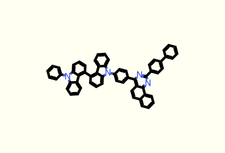 c1ccc(-c2ccc(-c3nc(-c4ccc(-n5c6ccccc6c6c(-c7cccc8c7c7ccccc7n8-c7ccccc7)cccc65)cc4)c4ccc5ccccc5c4n3)cc2)cc1